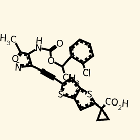 Cc1onc(C#Cc2cc3sc(C4(C(=O)O)CC4)cc3s2)c1NC(=O)OC(C)c1ccccc1Cl